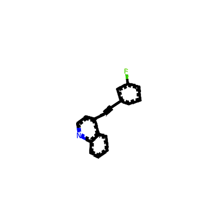 Fc1cccc(C#Cc2ccnc3ccccc23)c1